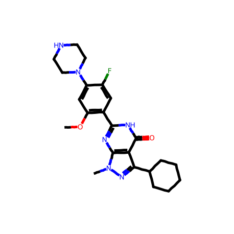 COc1cc(N2CCNCC2)c(F)cc1-c1nc2c(c(C3CCCCC3)nn2C)c(=O)[nH]1